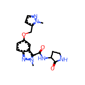 Cn1nccc1COc1ccc2nn(C)c(C(=O)NC3CCNC3=O)c2c1